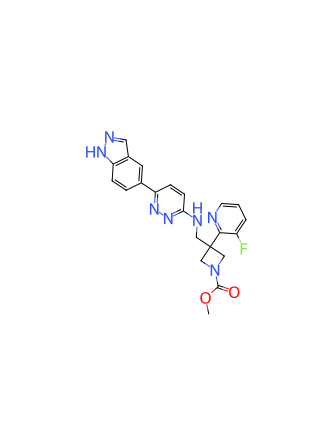 COC(=O)N1CC(CNc2ccc(-c3ccc4[nH]ncc4c3)nn2)(c2ncccc2F)C1